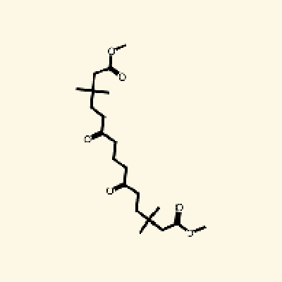 COC(=O)CC(C)(C)CCC(=O)CCCC(=O)CCC(C)(C)CC(=O)OC